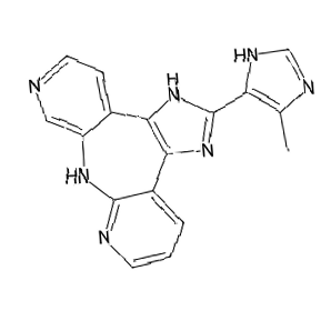 Cc1nc[nH]c1-c1nc2c([nH]1)-c1ccncc1Nc1ncccc1-2